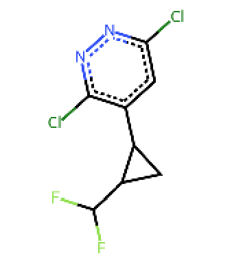 FC(F)C1CC1c1cc(Cl)nnc1Cl